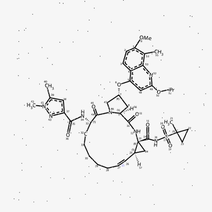 COc1ccc2c(O[C@@H]3C[C@H]4C(=O)N[C@]5(C(=O)NS(=O)(=O)C6(C)CC6)C[C@H]5/C=C\CCCCC[C@H](NC(=O)c5cc(C)n(C)n5)C(=O)N4C3)cc(OC(C)C)nc2c1C